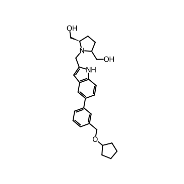 OCC1CC[C@H](CO)N1Cc1cc2cc(-c3cccc(COC4CCCC4)c3)ccc2[nH]1